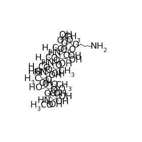 CC(=O)NC1C(OC2C(CO)OC(OC(C(O)C(C)CO)C(NC(C)=O)C(O)OC3C(O)C(C)OC(OC4C(O)C(CO)OC(OC5C(CO)OC(OCCCCCN)C6O[C@@](C)(C(=O)O)OC56)C4NC(C)=O)C3NC(C)=O)C3O[C@@](C)(C(=O)O)OC23)OC(CO)C(O)C1O